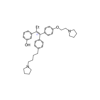 CC/C(=C(/c1ccc(CCCCN2CCCC2)cc1)c1ccc(OCCN2CCCC2)cc1)c1cccc(O)c1